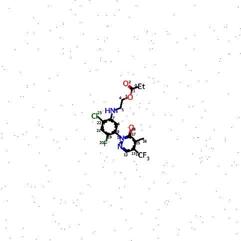 CCC(=O)OCCNc1cc(-n2ncc(C(F)(F)F)c(C)c2=O)c(F)cc1Cl